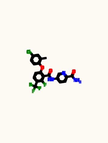 Cc1cc(Cl)ccc1Oc1ccc(C(F)(F)F)c(F)c1C(=O)Nc1ccc(C(N)=O)nc1